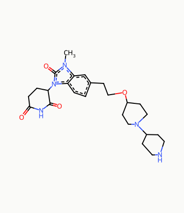 Cn1c(=O)n(C2CCC(=O)NC2=O)c2ccc(CCOC3CCN(C4CCNCC4)CC3)cc21